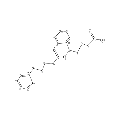 O=C(O)CCCC(OC(=O)CCCCc1ccccc1)c1ccccc1